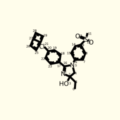 CCC1(O)CN(c2ccc(S(C)(=O)=O)cc2)C(c2ccc(Cl)cc2)=N1.c1cc2ccc1-2